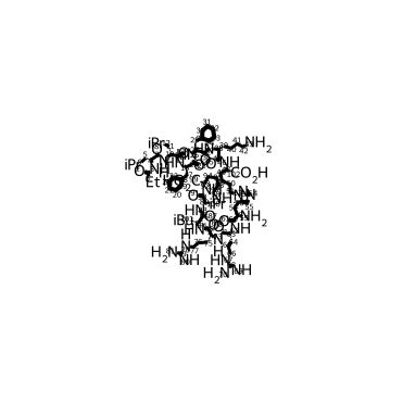 CCC(=O)N[C@H](CC(C)C)C(=O)N[C@H](CC(C)C)C(=O)N[C@H](Cc1ccccc1)C(=O)N[C@H](Cc1ccccc1)C(=O)N[C@H](CCCCN)C(=O)N[C@H](CCCCn1nncc1C[C@@H](N)C(=O)N[C@H](CCCNC(=N)N)C(=O)N[C@H](CCCNC(=N)N)C(=O)N[C@@H](C(=O)N[C@@H](C(=O)N[C@H](CCCCN)C(=O)O)C(C)C)C(C)CC)C(=O)O